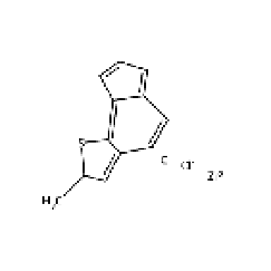 CC1C=c2ccc3c(c2S1)C=CC=3.[Cl-].[Cl-].[Zr+2]